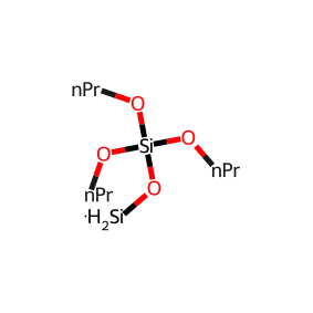 CCCO[Si](O[SiH2])(OCCC)OCCC